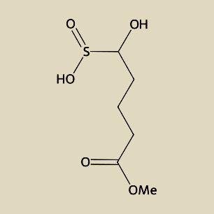 COC(=O)CCCC(O)S(=O)O